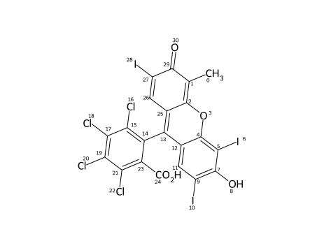 Cc1c2oc3c(I)c(O)c(I)cc3c(-c3c(Cl)c(Cl)c(Cl)c(Cl)c3C(=O)O)c-2cc(I)c1=O